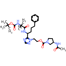 CC(=O)N[C@@H]1CCN(C(=O)OCCn2ncnc2C(CCCc2ccccc2)NC(=O)C(C)(C)NC(=O)OC(C)(C)C)C1